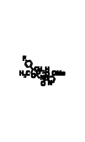 COc1ccnc(C(=O)NCC(=O)O[C@H](C)[C@H](C)c2ccc(F)cc2)c1O